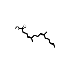 CC=CCCC(C)=CCCC(C)=CCCC(=O)CC